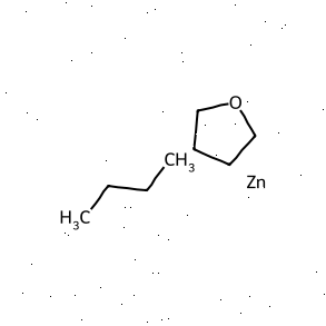 C1CCOC1.CCCC.[Zn]